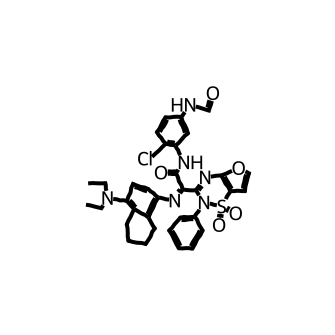 CCN(CC)c1ccc(/N=C(\C(=O)Nc2cc(NC=O)ccc2Cl)C2=Nc3occc3S(=O)(=O)N2c2ccccc2)c2c1CCCC2